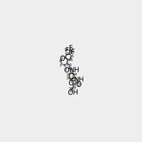 O=C(/C=C1\CCCOc2cc(C(F)(F)F)ccc21)Nc1ccc2c(c1)NC(=O)C(CCO)O2